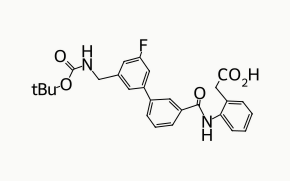 CC(C)(C)OC(=O)NCc1cc(F)cc(-c2cccc(C(=O)Nc3ccccc3CC(=O)O)c2)c1